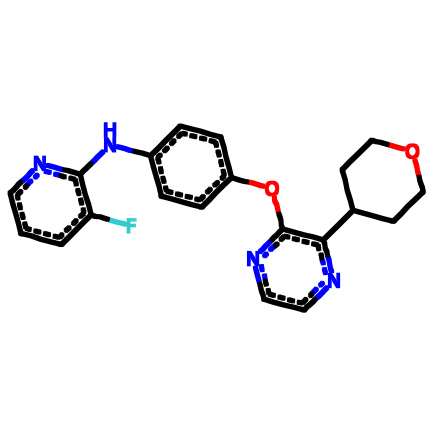 Fc1cccnc1Nc1ccc(Oc2nccnc2C2CCOCC2)cc1